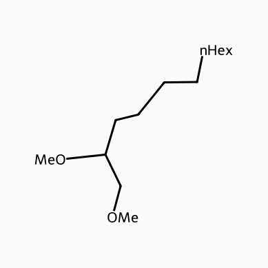 CCCCCCCCCCC(COC)OC